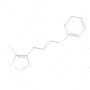 O=[N+]([O-])c1[nH]nnc1CC=COc1ccccc1